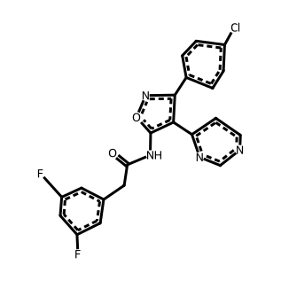 O=C(Cc1cc(F)cc(F)c1)Nc1onc(-c2ccc(Cl)cc2)c1-c1ccncn1